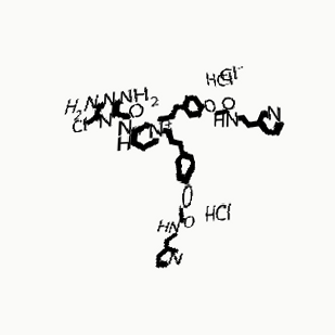 Cl.Cl.Nc1nc(N)c(C(=O)N[C@H]2CCC[N+](CCCc3ccc(OCC(=O)NCCc4cccnc4)cc3)(CCCc3ccc(OCC(=O)NCCc4cccnc4)cc3)C2)nc1Cl.[Cl-]